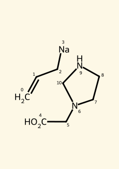 C=C[CH2][Na].O=C(O)CN1CCNC1